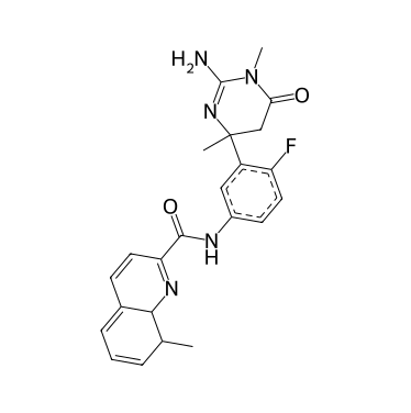 CC1C=CC=C2C=CC(C(=O)Nc3ccc(F)c(C4(C)CC(=O)N(C)C(N)=N4)c3)=NC21